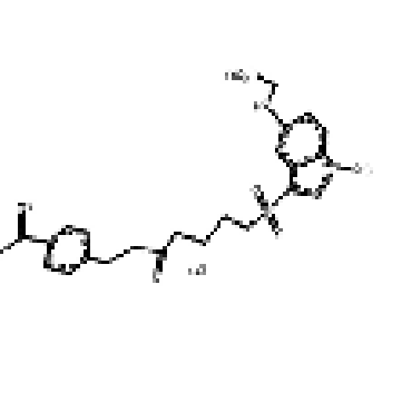 CCOC(=O)CNc1ccc2c(c1)c(S(=O)(=O)CCCCC(=O)CCc1ccc(C(=N)N)cc1)cn2C.Cl